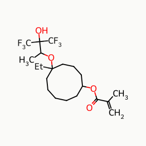 C=C(C)C(=O)OC1CCCCCC(CC)(OC(C)C(O)(C(F)(F)F)C(F)(F)F)CCC1